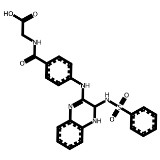 O=C(O)CNC(=O)c1ccc(NC2=Nc3ccccc3NC2NS(=O)(=O)c2ccccc2)cc1